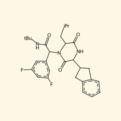 CC(C)CC1C(=O)NC(C2Cc3ccccc3C2)C(=O)N1C(C(=O)NC(C)(C)C)c1cc(F)cc(F)c1